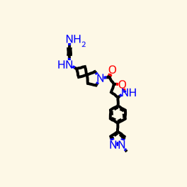 Cn1cc(-c2ccc(C3CC(C(=O)N4CCC5(CC(NC#CN)C5)C4)ON3)cc2)cn1